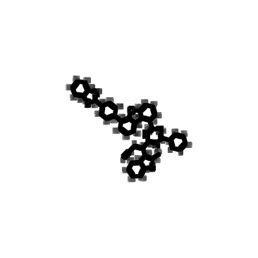 C#C/C=C(/c1nc(-c2ccccc2)nc(-c2cccc3oc4c(-c5ccc(-c6nc7ccccc7s6)cc5)cccc4c23)n1)c1c(C)sc2ccccc12